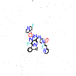 CN(c1nc(OC[C@@]23CCCN2C[C@H](F)C3)nc2c(F)c(-c3ccccc3C3CC3)ncc12)[C@@H]1CCN(C(=O)/C(F)=C/c2ccccn2)C1